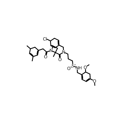 COC1=CC=C(CN[S@@+]([O-])CCCN(CC2=CCC(Cl)C=C2)C(=O)C2(C)CCN2C(=O)CC2=CC(C)=CC(C)C2)C(OC)C1